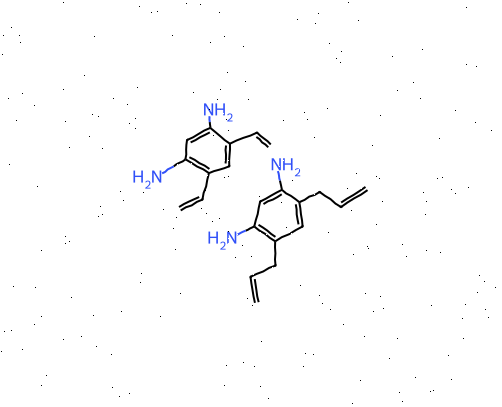 C=CCc1cc(CC=C)c(N)cc1N.C=Cc1cc(C=C)c(N)cc1N